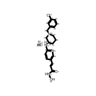 Cl.Cl.O=C(C=Cc1ccc(N[C@@H]2CCCN(Cc3cccc(Cl)c3)C2)nc1)NO